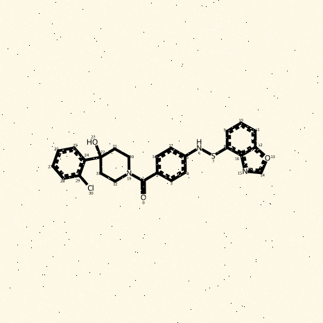 O=C(c1ccc(NSc2cccc3ocnc23)cc1)N1CCC(O)(c2ccccc2Cl)CC1